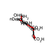 CCCCCCCCCCCCCCC(CNCCCC[C@H](N)[C]=O)OCCOCCNC(=O)COCCOCCNC(=O)CC[C@H](NC(=O)CCCCCCCCCOc1ccc(C(=O)O)cc1)C(=O)O